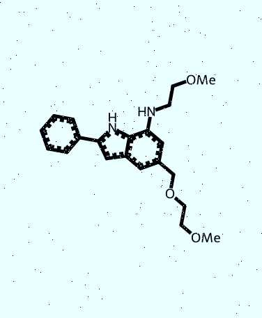 COCCNc1cc(COCCOC)cc2cc(-c3ccccc3)[nH]c12